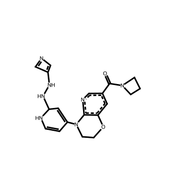 O=C(c1cnc2c(c1)OCCN2C1=CC(NNC2=CN=C2)NC=C1)N1CCC1